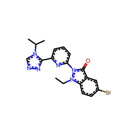 CCn1c2ccc(Br)cc2c(=O)n1-c1cccc(-c2nncn2C(C)C)n1